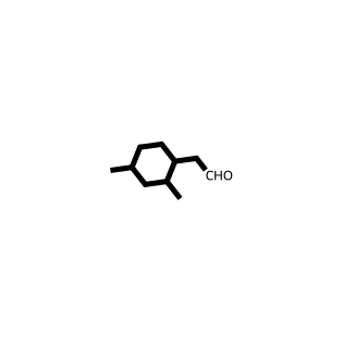 CC1CCC(CC=O)C(C)C1